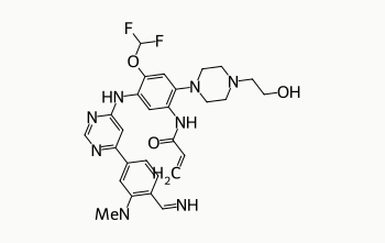 C=CC(=O)Nc1cc(Nc2cc(-c3ccc(C=N)c(NC)c3)ncn2)c(OC(F)F)cc1N1CCN(CCO)CC1